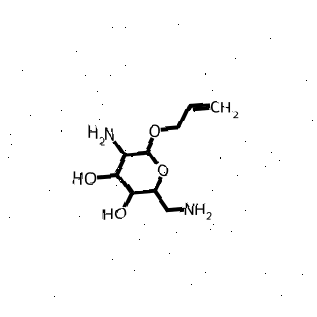 C=CCOC1OC(CN)C(O)C(O)C1N